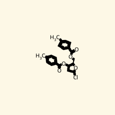 Cc1ccc(C(=O)OC[C@H]2OC(Cl)CC2OC(=O)c2ccc(C)cc2)cc1